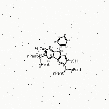 CCCCCN(CCCCC)c1cc2c(cc1C)B(c1ccccc1)c1cc(C)c(N(CCCCC)CCCCC)cc1-2